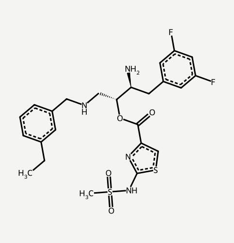 CCc1cccc(CNC[C@@H](OC(=O)c2csc(NS(C)(=O)=O)n2)[C@@H](N)Cc2cc(F)cc(F)c2)c1